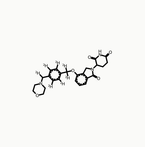 [2H]c1c([2H])c(C([2H])([2H])Oc2cccc3c2CN(C2CCC(=O)NC2=O)C3=O)c([2H])c([2H])c1C([2H])N1CCOCC1